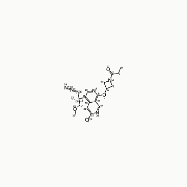 CCC(=O)N1CC(Oc2ncc([C@@](C)(COC)N=[N+]=[N-])c3cc(Cl)ncc23)C1